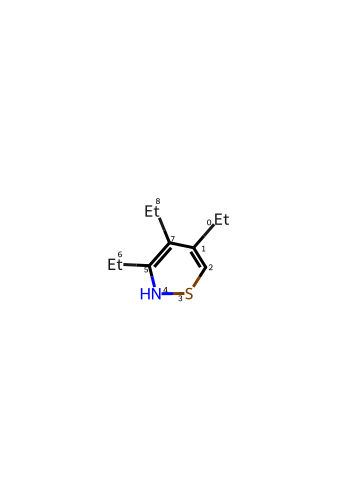 CCC1=CSNC(CC)=C1CC